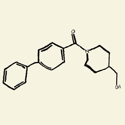 O=C(c1ccc(-c2ccccc2)cc1)N1CCC(CO)CC1